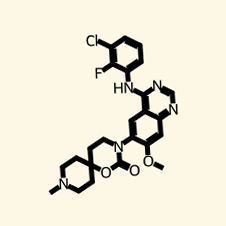 COc1cc2ncnc(Nc3cccc(Cl)c3F)c2cc1N1CCC2(CCN(C)CC2)OC1=O